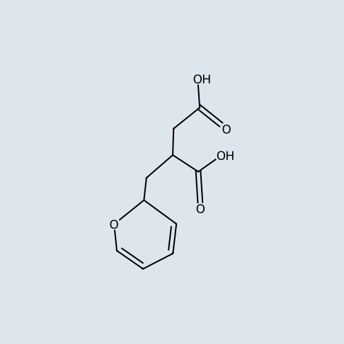 O=C(O)CC(CC1C=CC=CO1)C(=O)O